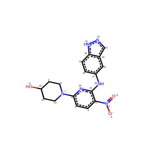 O=[N+]([O-])c1ccc(N2CCC(O)CC2)nc1Nc1ccc2[nH]ncc2c1